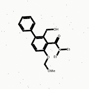 CCN(CC)C(=O)c1c(OCOC)ccc(-c2ccccc2)c1CO